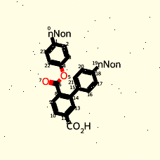 CCCCCCCCCc1ccc(OC(=O)c2ccc(C(=O)O)cc2-c2ccc(CCCCCCCCC)cc2)cc1